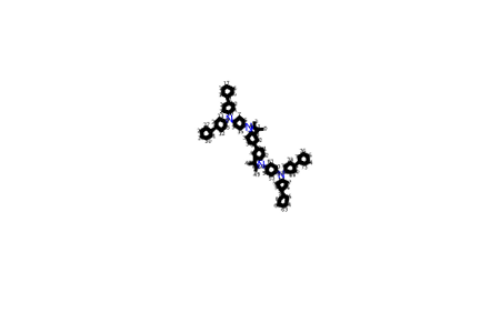 Cc1c(C)n(-c2ccc(N(c3ccc(-c4ccccc4)cc3)c3ccc(-c4ccccc4)cc3)cc2)c2ccc(-c3ccc4c(c3)c(C)c(C)n4-c3ccc(N(c4ccc(-c5ccccc5)cc4)c4ccc(-c5ccccc5)cc4)cc3)cc12